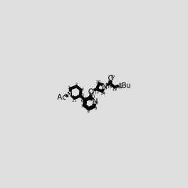 CC(=O)N1CCCC(c2cccnc2OC2CN(C(=O)CC(C)(C)C)C2)C1